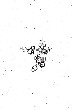 C[C@H](NP(=O)(OC[C@@]1(C#N)O[C@@H](c2ccc3c(N)ncnn23)[C@H](OC(=O)C(C)(C)C)[C@@H]1OC(=O)C(C)(C)C)Oc1ccccc1)C(=O)OC1CCOCC1